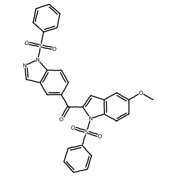 COc1ccc2c(c1)cc(C(=O)c1ccc3c(cnn3S(=O)(=O)c3ccccc3)c1)n2S(=O)(=O)c1ccccc1